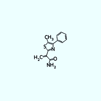 C=C(C(N)=O)c1nc(-c2ccccc2)c(C)s1